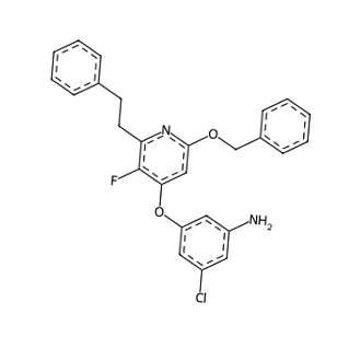 Nc1cc(Cl)cc(Oc2cc(OCc3ccccc3)nc(CCc3ccccc3)c2F)c1